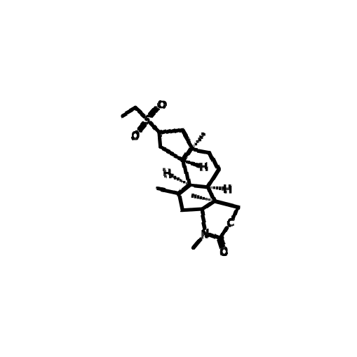 CCS(=O)(=O)C1C[C@H]2[C@@H]3C(C)CC4N(C)C(=O)CC[C@]4(C)[C@@H]3CC[C@]2(C)C1